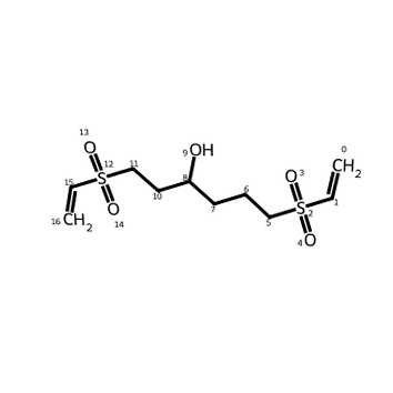 C=CS(=O)(=O)CCCC(O)CCS(=O)(=O)C=C